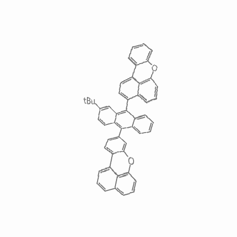 CC(C)(C)c1ccc2c(-c3ccc4c(c3)Oc3cccc5cccc-4c35)c3ccccc3c(-c3ccc4c5c(cccc35)Oc3ccccc3-4)c2c1